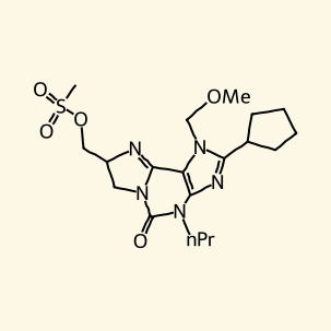 CCCN1C(=O)N2CC(COS(C)(=O)=O)N=C2c2c1nc(C1CCCC1)n2COC